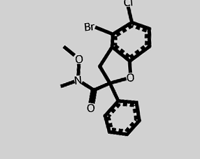 CON(C)C(=O)C1(c2ccccc2)Cc2c(ccc(Cl)c2Br)O1